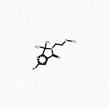 COCCN1C(=O)c2cc(Br)sc2C1(C)C